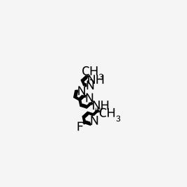 Cc1cc(-n2ccc3ccc(N[C@@H](C)c4ccc(F)cn4)nc32)n[nH]1